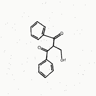 O=C(c1ccccc1)C(CO)C(=O)c1ccccc1